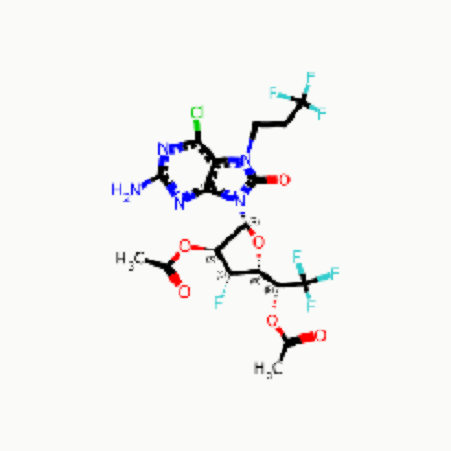 CC(=O)O[C@@H]1[C@@H](F)[C@@H]([C@@H](OC(C)=O)C(F)(F)F)O[C@H]1n1c(=O)n(CCC(F)(F)F)c2c(Cl)nc(N)nc21